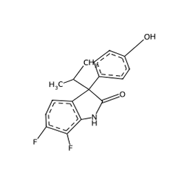 CC(C)C1(c2ccc(O)cc2)C(=O)Nc2c1ccc(F)c2F